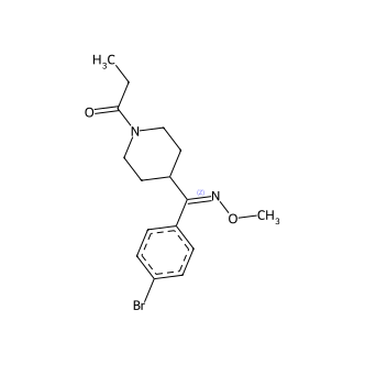 CCC(=O)N1CCC(/C(=N/OC)c2ccc(Br)cc2)CC1